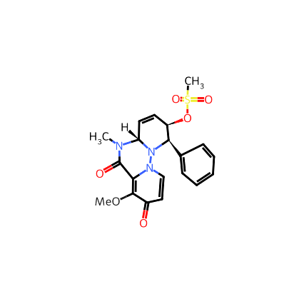 COc1c2n(ccc1=O)N1[C@H](c3ccccc3)[C@H](OS(C)(=O)=O)C=C[C@H]1N(C)C2=O